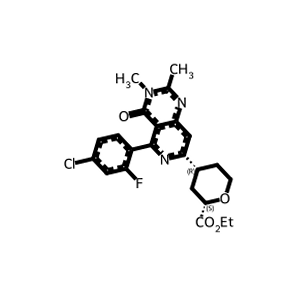 CCOC(=O)[C@@H]1C[C@H](c2cc3nc(C)n(C)c(=O)c3c(-c3ccc(Cl)cc3F)n2)CCO1